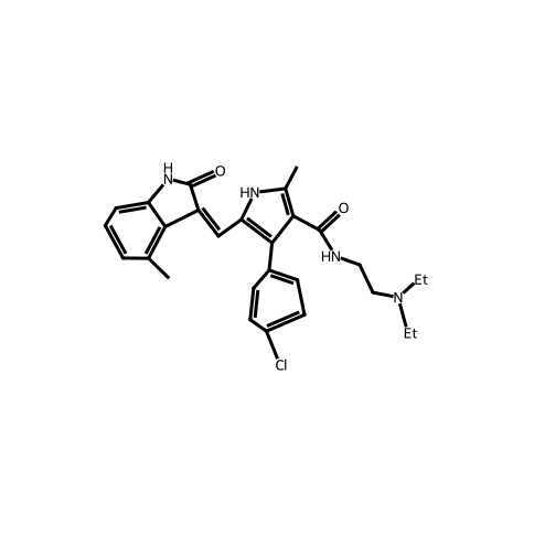 CCN(CC)CCNC(=O)c1c(C)[nH]c(/C=C2\C(=O)Nc3cccc(C)c32)c1-c1ccc(Cl)cc1